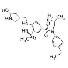 CCc1ccc(N(CC(C)C)S(=O)(=O)c2ccc(NCC3CNC(O)C3)c(S(C)(=N)=O)c2)cc1